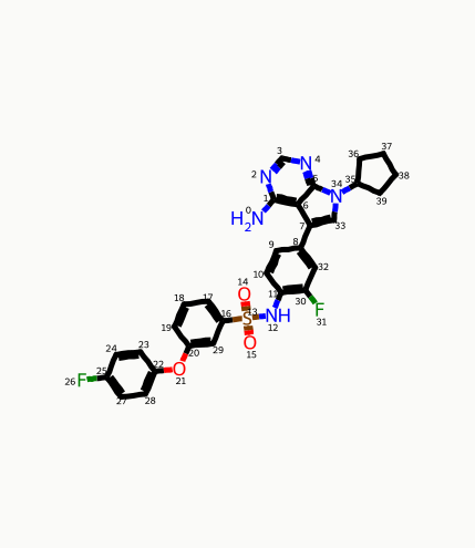 Nc1ncnc2c1c(-c1ccc(NS(=O)(=O)c3cccc(Oc4ccc(F)cc4)c3)c(F)c1)cn2C1CCCC1